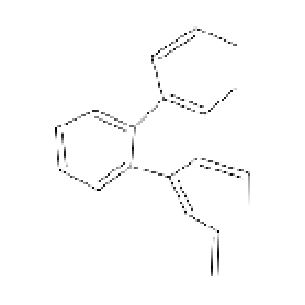 C=C/C=C(\C=C/C)c1ccccc1C(/C=C\C)=C/C